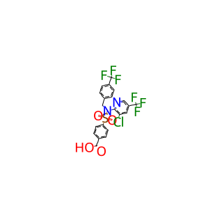 O=C(O)c1ccc(S(=O)(=O)N(Cc2ccc(C(F)(F)F)cc2)c2ncc(C(F)(F)F)cc2Cl)cc1